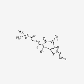 CSC1=NC2C(S1)C(O)=C(C(=O)NCC(=O)OC(C)(C)C)C(=O)N2C